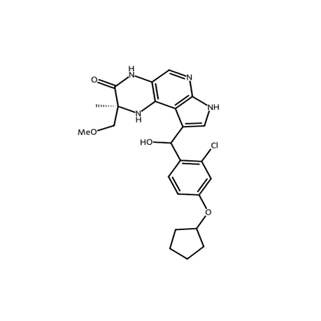 COC[C@]1(C)Nc2c(cnc3[nH]cc(C(O)c4ccc(OC5CCCC5)cc4Cl)c23)NC1=O